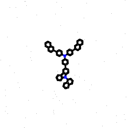 c1ccc2cc(-c3ccc(N(c4ccc(-c5ccc6ccccc6c5)cc4)c4ccc(-c5ccc6c(c5)c5ccccc5n6-c5cccc6ccccc56)cc4)cc3)ccc2c1